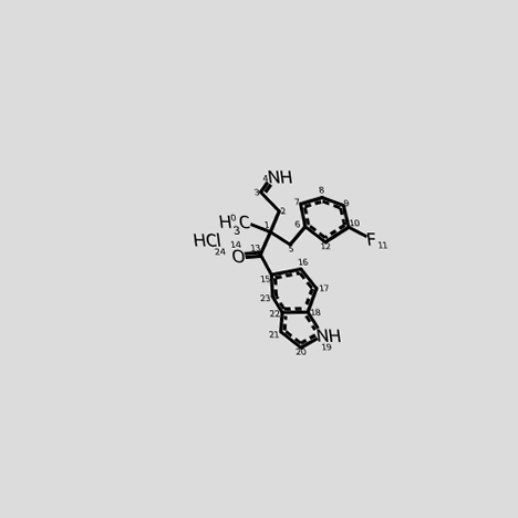 CC(CC=N)(Cc1cccc(F)c1)C(=O)c1ccc2[nH]ccc2c1.Cl